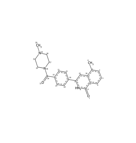 Cc1cccc2c(=O)[nH]c(-c3ccc(C(=O)N4CCN(C)CC4)cc3)cc12